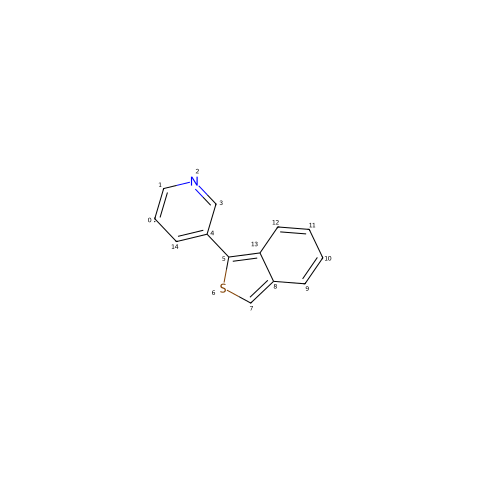 [c]1cncc(-c2scc3ccccc23)c1